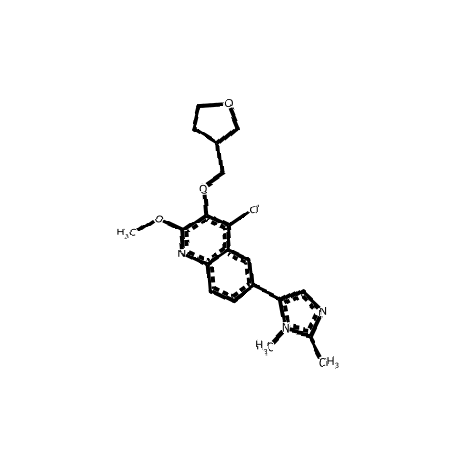 COc1nc2ccc(-c3cnc(C)n3C)cc2c(Cl)c1OCC1CCOC1